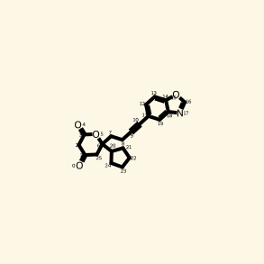 O=C1CC(=O)OC(CCC#Cc2ccc3ocnc3c2)(C2CCCC2)C1